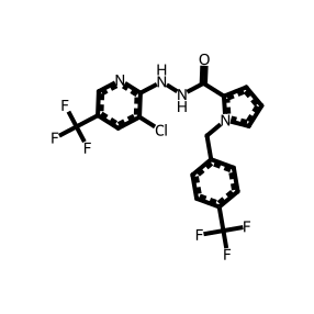 O=C(NNc1ncc(C(F)(F)F)cc1Cl)c1cccn1Cc1ccc(C(F)(F)F)cc1